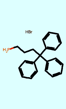 Br.PCCCC(c1ccccc1)(c1ccccc1)c1ccccc1